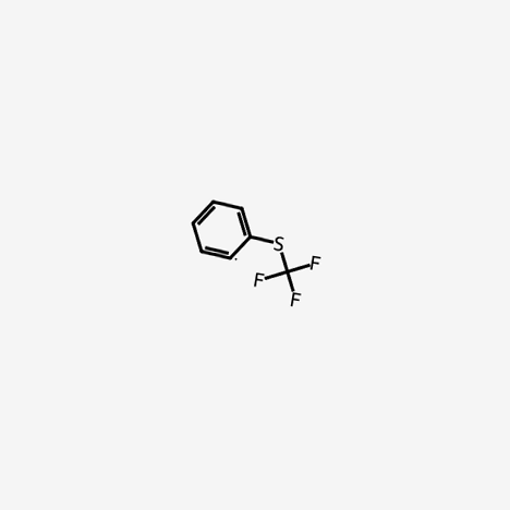 FC(F)(F)Sc1[c]cccc1